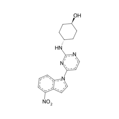 O=[N+]([O-])c1cccc2c1ccn2-c1ccnc(N[C@H]2CC[C@H](O)CC2)n1